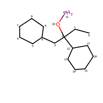 CCC(CC1CCCCC1)(OP)C1CCCCC1